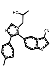 CC(O)Cn1cnc(-c2ccc(F)cc2)c1-c1ccc2ncc(C#N)n2c1